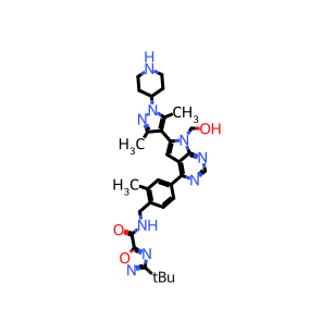 Cc1cc(-c2ncnc3c2cc(-c2c(C)nn(C4CCNCC4)c2C)n3CO)ccc1CNC(=O)c1nc(C(C)(C)C)no1